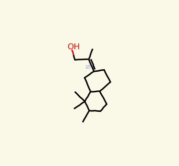 C/C(CO)=C1\CCC2CCC(C)C(C)(C)C2C1